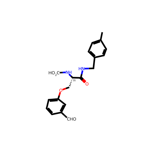 Cc1ccc(CNC(=O)[C@H](COc2cccc(C=O)c2)NC(=O)O)cc1